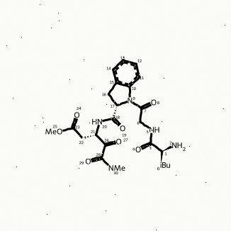 CC[C@H](C)[C@H](N)C(=O)NCC(=O)N1c2ccccc2C[C@H]1C(=O)N[C@@H](CC(=O)OC)C(=O)C(=O)NC